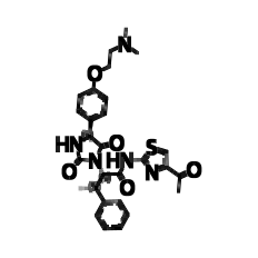 CC(=O)c1csc(NC(=O)[C@H]([C@@H](C)c2ccccc2)N2C(=O)N[C@@H](c3ccc(OCCN(C)C)cc3)C2=O)n1